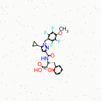 COc1c(F)c(F)c(Cn2nc(C(=O)N[C@H](Cc3ccccc3)[C@@H](O)C(=O)O)cc2C2CC2)c(F)c1F